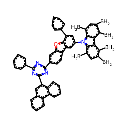 Bc1cc(B)c2c(c1B)c1c(B)c(B)cc(B)c1n2-c1cc(-c2ccccc2)c2oc3cc(-c4nc(-c5ccccc5)nc(-c5cc6ccccc6c6ccccc56)n4)ccc3c2c1